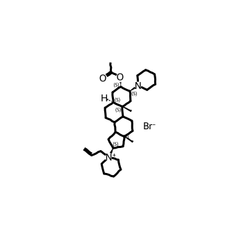 C=CC[N+]1([C@H]2CC3C4CC[C@H]5C[C@H](OC(C)=O)[C@@H](N6CCCCC6)C[C@]5(C)C4CC[C@]3(C)C2)CCCCC1.[Br-]